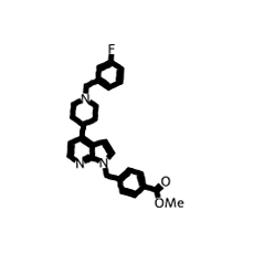 COC(=O)c1ccc(Cn2ccc3c(C4CCN(Cc5cccc(F)c5)CC4)ccnc32)cc1